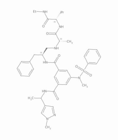 CCNC(=O)[C@@H](NC(=O)[C@H](C)NC[C@H](Cc1ccccc1)NC(=O)c1cc(C(=O)NC(C)c2cnn(C)c2)cc(N(C)S(=O)(=O)c2ccccc2)c1)C(C)C